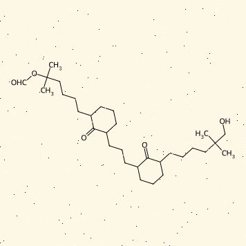 CC(C)(CO)CCCCC1CCCC(CCCC2CCCC(CCCCC(C)(C)OC=O)C2=O)C1=O